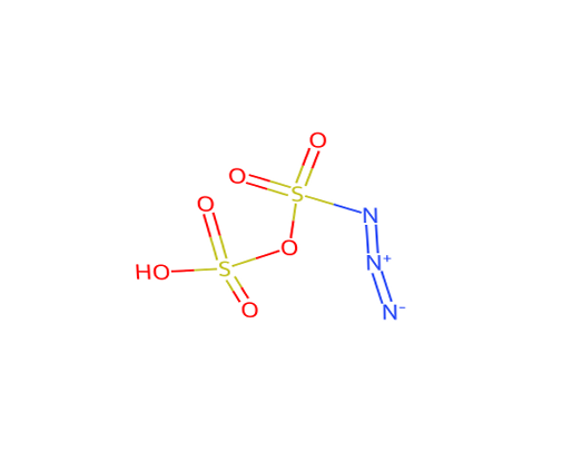 [N-]=[N+]=NS(=O)(=O)OS(=O)(=O)O